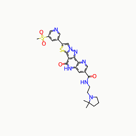 CC1(C)CCCN1CCNC(=O)c1cnc2c(c1)[nH]c(=O)c1c2nn2cc(-c3cncc(S(C)(=O)=O)c3)sc12